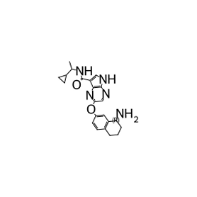 CC(NC(=O)c1c[nH]c2ncc(Oc3ccc4c(c3)[C@H](N)CCC4)nc12)C1CC1